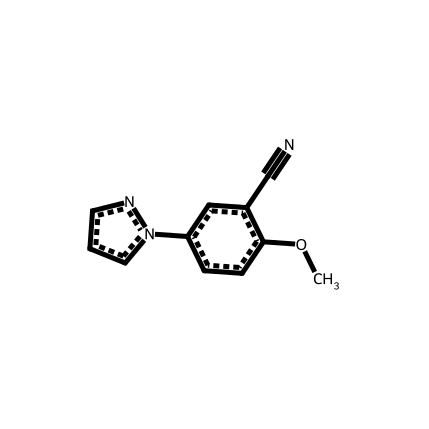 COc1ccc(-n2cccn2)cc1C#N